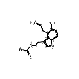 C=CCc1c(O)ccc2[nH]cc(CCNC(=O)CC)c12